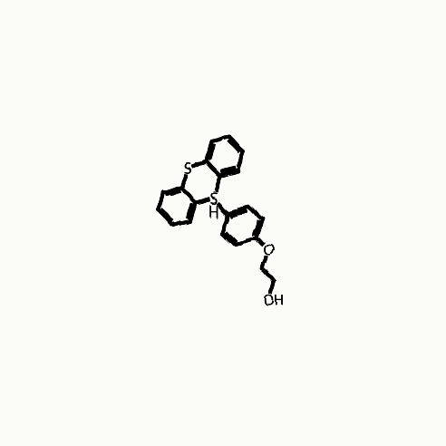 OCCOc1ccc([SH]2c3ccccc3Sc3ccccc32)cc1